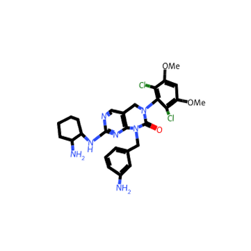 COc1cc(OC)c(Cl)c(N2Cc3cnc(NC4CCCCC4N)nc3N(Cc3cccc(N)c3)C2=O)c1Cl